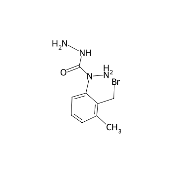 Cc1cccc(N(N)C(=O)NN)c1CBr